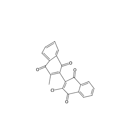 CC1=C(C2=C(Cl)C(=O)c3ccccc3C2=O)C(=O)c2ccccc2C1=O